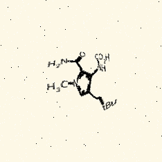 Cn1cc(CC(C)(C)C)c(NC(=O)O)c1C(N)=O